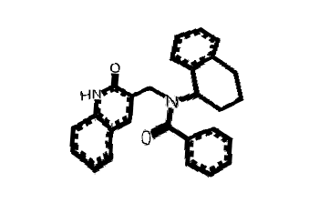 O=C(c1ccccc1)N(Cc1cc2ccccc2[nH]c1=O)C1CCCc2ccccc21